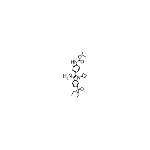 CCN(CC)C(=O)c1ccc2c(N)c(-c3ccc(NC(=O)OC(C)C)cc3)n(C3CCC3)c2c1